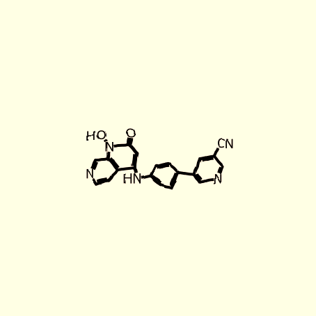 N#Cc1cncc(-c2ccc(Nc3cc(=O)n(O)c4cnccc34)cc2)c1